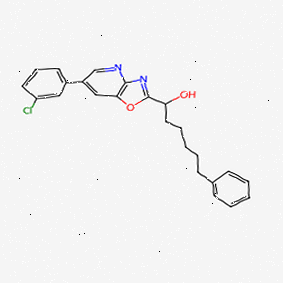 OC(CCCCCc1ccccc1)c1nc2ncc(-c3cccc(Cl)c3)cc2o1